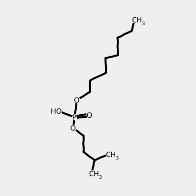 CCCCCCCCOP(=O)(O)OCCC(C)C